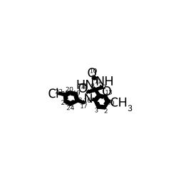 Cc1ccc2c(c1)C1(NC(=O)NC1=O)C(=O)N2Cc1ccc(Cl)cc1